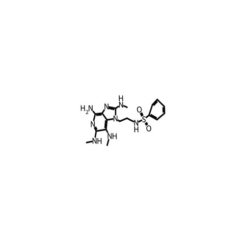 CNc1nc(N)c2nc(NC)n(CCNS(=O)(=O)c3ccccc3)c2c1NC